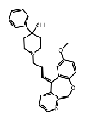 COc1ccc2c(c1)C(=CCCN1CCC(O)(c3ccccc3)CC1)c1cccnc1CO2